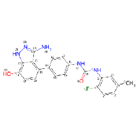 Cc1ccc(F)c(NC(=O)Nc2ccc(-c3ccc(O)c4[nH]nc(N)c34)cc2)c1